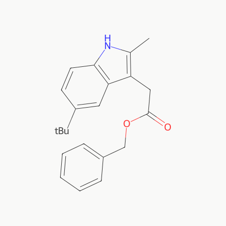 Cc1[nH]c2ccc(C(C)(C)C)cc2c1CC(=O)OCc1ccccc1